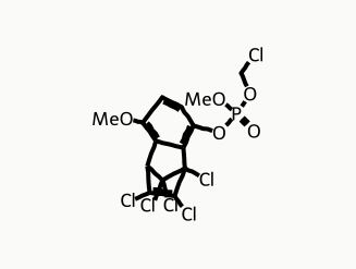 COc1ccc(OP(=O)(OC)OCCl)c2c1C1C(Cl)=C(Cl)C2(Cl)C1(Cl)Cl